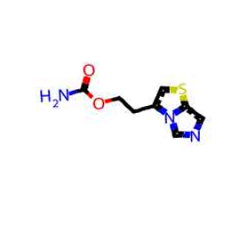 NC(=O)OCCc1csc2cncn12